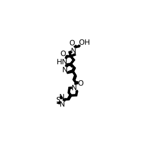 O=C(/C=C/c1cnc2c(c1)CC1(CN(C(=O)CO)C1)C(=O)N2)N1CCC(=Cc2ncsn2)CC1